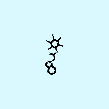 O=C(Cn1ncc2ccccc21)Oc1c(F)c(F)c(F)c(F)c1F